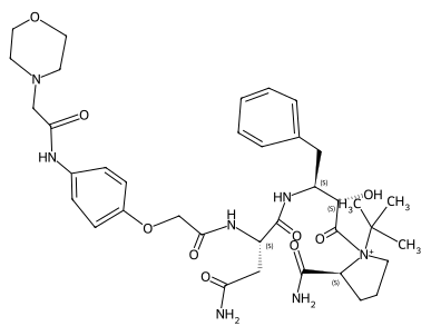 CC(C)(C)[N+]1(C(=O)[C@@H](O)[C@H](Cc2ccccc2)NC(=O)[C@H](CC(N)=O)NC(=O)COc2ccc(NC(=O)CN3CCOCC3)cc2)CCC[C@H]1C(N)=O